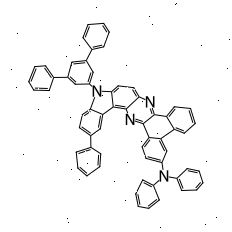 c1ccc(-c2cc(-c3ccccc3)cc(-n3c4ccc(-c5ccccc5)cc4c4c5nc6c7ccc(N(c8ccccc8)c8ccccc8)cc7c7ccccc7c6nc5ccc43)c2)cc1